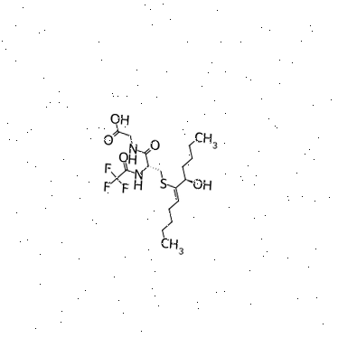 CCCCC=C(SC[C@H](NC(=O)C(F)(F)F)C(=O)NCC(=O)O)[C@H](O)CCCC